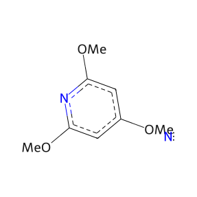 COc1cc(OC)nc(OC)c1.[N]